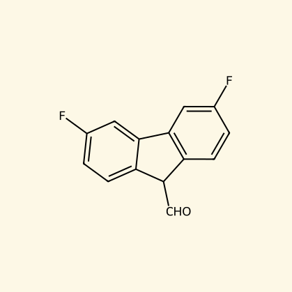 O=CC1c2ccc(F)cc2-c2cc(F)ccc21